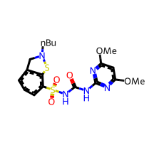 CCCCN1Cc2cccc(S(=O)(=O)NC(=O)Nc3nc(OC)cc(OC)n3)c2S1